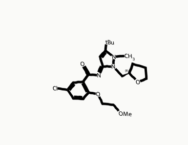 COCCOc1ccc(Cl)cc1C(=O)N=c1cc(C(C)(C)C)n(C)n1C[C@H]1CCCO1